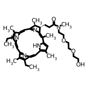 CCC1=C(C)c2cc3[nH]c(cc4nc(c(C)c5cc(C)c(cc1n2)[nH]5)[C@@H](CCC(=O)N(C)CCOCCOCCO)[C@@H]4C)c(C)c3CC